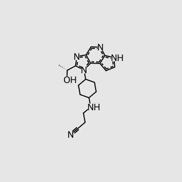 C[C@@H](O)c1nc2cnc3[nH]ccc3c2n1C1CCC(NCCC#N)CC1